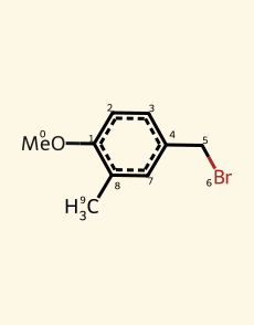 COc1ccc(CBr)cc1C